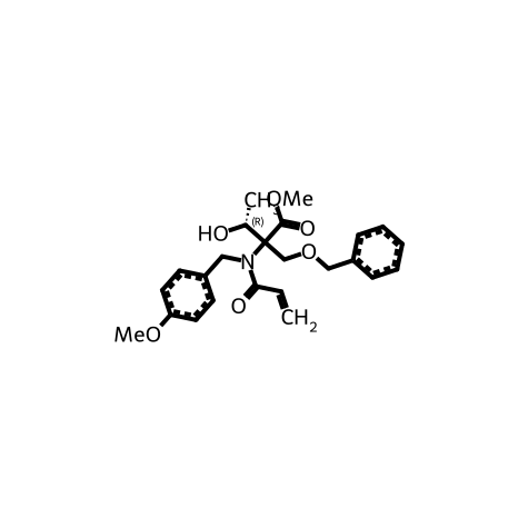 C=CC(=O)N(Cc1ccc(OC)cc1)C(COCc1ccccc1)(C(=O)OC)[C@@H](C)O